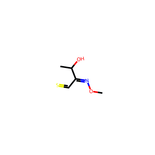 CON=C(C=S)C(C)O